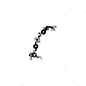 CN(CCOC(=O)NCc1ccc(COc2nc(N)nc3[nH]cnc23)cc1)c1ccc2c(c1)sc1cc(C=C(C#N)C#N)sc12